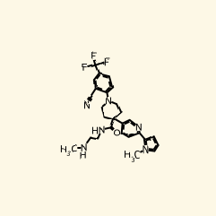 CNCCNC(=O)C1(c2ccc(-c3cccn3C)nc2)CCN(c2ccc(C(F)(F)F)cc2C#N)CC1